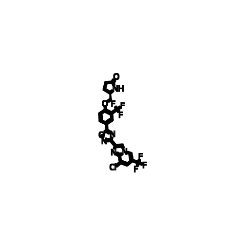 O=C1CC[C@H](COc2ccc(-c3nc(-c4cn5cc(C(F)(F)F)cc(Cl)c5n4)no3)cc2C(F)(F)F)N1